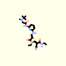 CCNC(=O)C(C#N)=c1sc(=CNc2cccc(NC(=O)CN(C)C(C)(C)C)n2)c(=O)n1CC